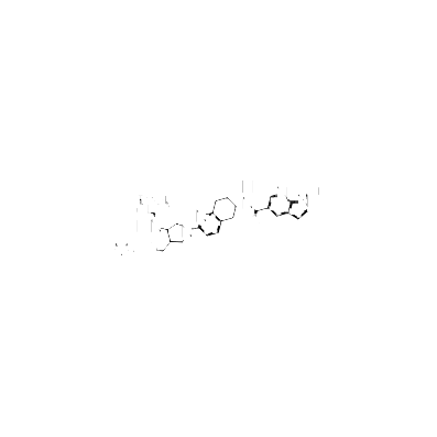 CCn1ccc2cc(C(=O)N[C@H]3CCc4nc(N5CC(COC)C(NC(=O)OC(C)(C)C)C5)ccc4C3)cnc21